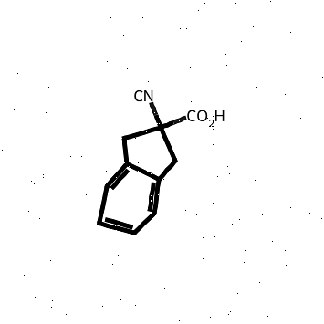 [C-]#[N+]C1(C(=O)O)Cc2ccccc2C1